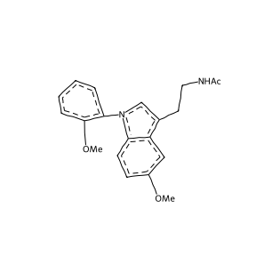 COc1ccc2c(c1)c(CCNC(C)=O)cn2-c1ccccc1OC